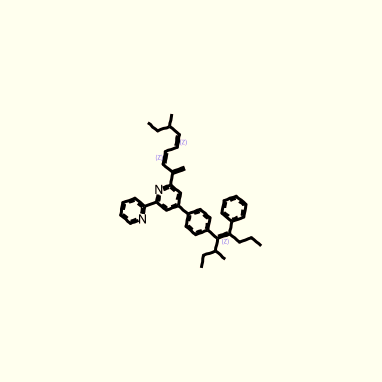 C=C(/C=C\C=C/C(C)CC)c1cc(-c2ccc(/C(=C(/CCC)c3ccccc3)C(C)CC)cc2)cc(-c2ccccn2)n1